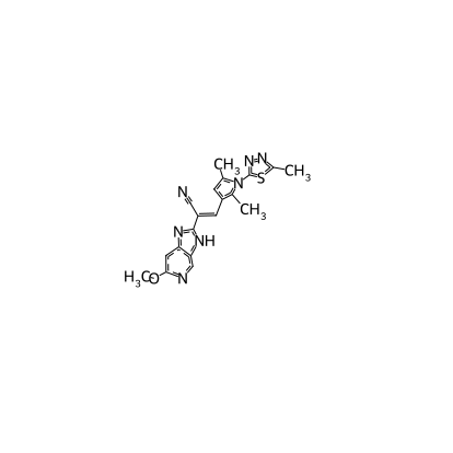 COc1cc2nc(/C(C#N)=C/c3cc(C)n(-c4nnc(C)s4)c3C)[nH]c2cn1